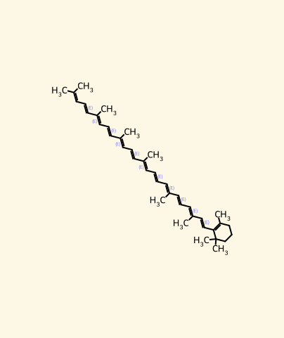 CC(C)=C/C=C/C(C)=C/C=C/C(C)=C/C=C/C(C)=C/C=C/C=C(C)/C=C/C=C(C)/C=C/C1=C(C)CCCC1(C)C